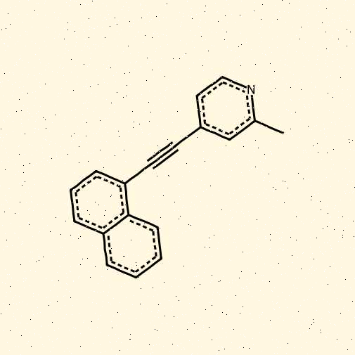 Cc1cc(C#Cc2cccc3ccccc23)ccn1